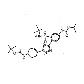 CC(C)OC(=O)Nc1ccc(-c2nnc(C3=CCC(NC(=O)OC(C)(C)C)CC3)s2)c(S(=O)(=O)NC(C)(C)C)c1